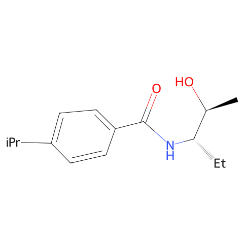 CC[C@H](NC(=O)c1ccc(C(C)C)cc1)[C@H](C)O